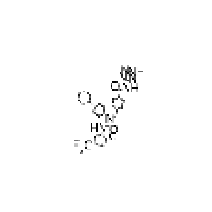 O=C(Nc1nn[nH]n1)c1ccc(CN(C(=O)Nc2cc(C(F)(F)F)ccc2Cl)c2ccc(C3CCCCC3)cc2)cc1